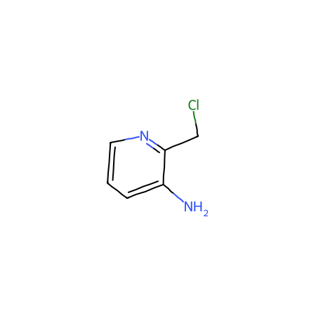 Nc1cccnc1CCl